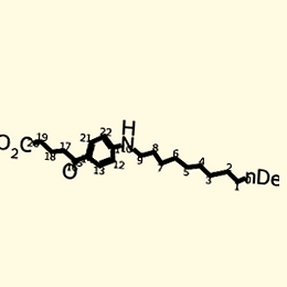 CCCCCCCCCCCCCCCCCCCNc1ccc(C(=O)CCCC(=O)O)cc1